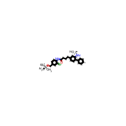 CC(C)(C)[Si](C)(C)OCc1ccc(NC(=O)CCCc2ccc(-c3ccccc3)c(NC(=O)O)c2)c(Br)c1